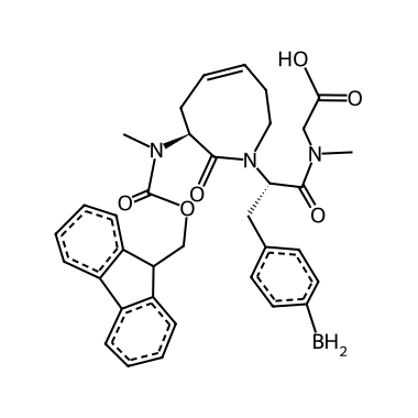 Bc1ccc(C[C@@H](C(=O)N(C)CC(=O)O)N2CC/C=C\C[C@H](N(C)C(=O)OCC3c4ccccc4-c4ccccc43)C2=O)cc1